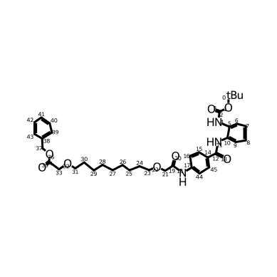 CC(C)(C)OC(=O)Nc1ccccc1NC(=O)c1ccc(NC(=O)COCCCCCCCCCOCC(=O)OCc2ccccc2)cc1